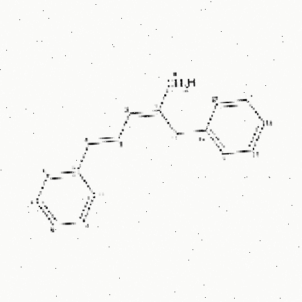 O=C(O)C(=CC=Cc1ccccc1)Cc1ccccc1